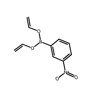 C=COB(OC=C)c1cccc([N+](=O)[O-])c1